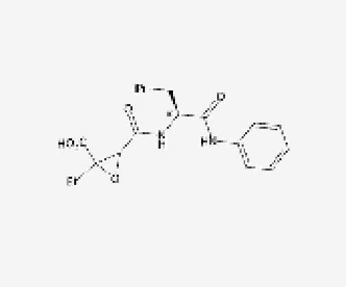 CCC1(C(=O)O)OC1C(=O)N[C@@H](CC(C)C)C(=O)Nc1ccccc1